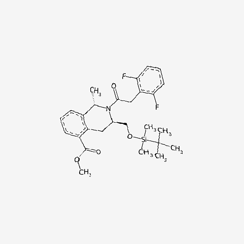 COC(=O)c1cccc2c1C[C@H](CO[Si](C)(C)C(C)(C)C)N(C(=O)Cc1c(F)cccc1F)[C@H]2C